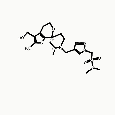 C[C@H]1C[C@@]2(CCN1Cc1cnn(CS(=O)(=O)N(C)C)c1)OCCc1c2sc(C(F)(F)F)c1CO